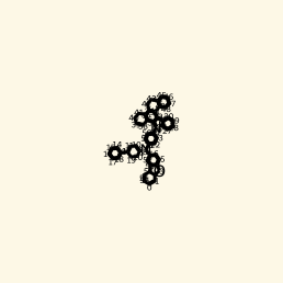 C1=CC2Oc3ccc(N(C4=CC=C(c5ccccc5)CC4)c4ccc(-n5c6ccccc6c6c7c(c8c(c65)C=CCC8)CCc5ccccc5-7)cc4)cc3C2C=C1